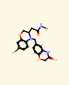 CCNC(=O)CC1COc2cc(F)ccc2N1Cc1ccc2c(c1)NC(=O)CO2